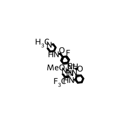 CCC(=O)N[C@@H]1CCCC[C@H]1Nc1nc(Nc2cc(F)c(C(=O)NC3CCN(C)CC3)cc2OC)ncc1C(F)(F)F